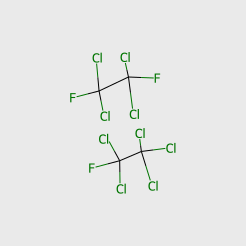 FC(Cl)(Cl)C(Cl)(Cl)Cl.FC(Cl)(Cl)C(F)(Cl)Cl